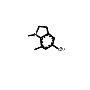 Cc1cc(C(C)(C)C)cc2c1N(C)CC2